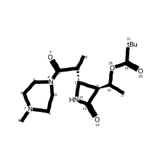 CC(C(=O)N1CCN(C)CC1)[C@H]1NC(=O)[C@@H]1C(C)OC(=O)C(C)(C)C